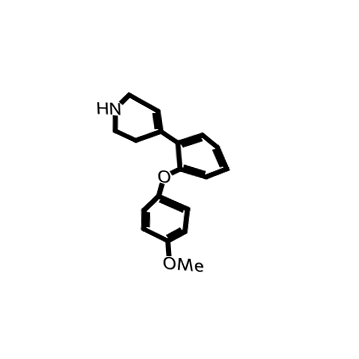 COc1ccc(Oc2ccccc2C2=CCNCC2)cc1